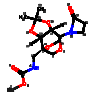 CC(C)(C)OC(=O)NC[C@@]12COC(N3CCC3=O)(CO1)[C@H]1OC(C)(C)O[C@H]12